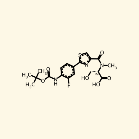 CN(C(=O)c1csc(-c2ccc(NC(=O)OC(C)(C)C)c(F)c2)n1)[C@@H](CO)C(=O)O